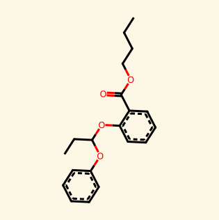 CCCCOC(=O)c1ccccc1OC(CC)Oc1ccccc1